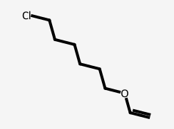 C=COCCCCCCCl